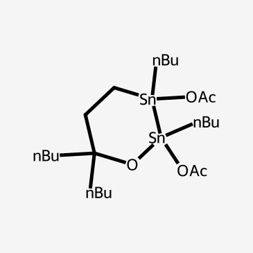 CCCCC1(CCCC)C[CH2][Sn]([CH2]CCC)([O]C(C)=O)[Sn]([CH2]CCC)([O]C(C)=O)[O]1